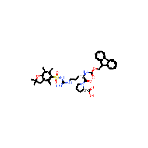 Cc1c(C)c(S(=O)(=O)NC(=N)NCCC[C@H](NC(=O)OCC2c3ccccc3-c3ccccc32)C(=O)N2CCC[C@H]2C(=O)O)c(C)c2c1OC(C)(C)C2